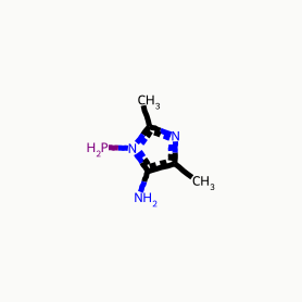 Cc1nc(C)n(P)c1N